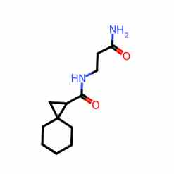 NC(=O)CCNC(=O)C1CC12CCCCC2